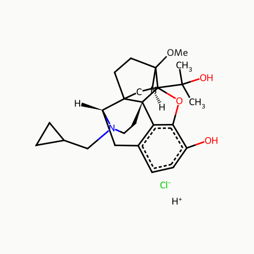 COC12CCC3(C[C@@H]1C(C)(C)O)[C@H]1Cc4ccc(O)c5c4[C@@]3(CCN1CC1CC1)[C@H]2O5.[Cl-].[H+]